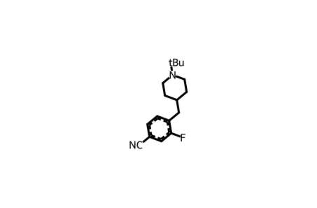 CC(C)(C)N1CCC(Cc2ccc(C#N)cc2F)CC1